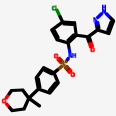 CC1(c2ccc(S(=O)(=O)Nc3ccc(Cl)cc3C(=O)c3cc[nH]n3)cc2)CCOCC1